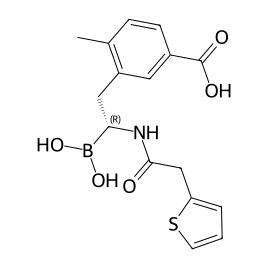 Cc1ccc(C(=O)O)cc1C[C@H](NC(=O)Cc1cccs1)B(O)O